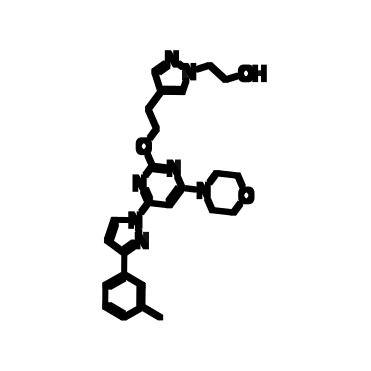 Cc1cccc(-c2ccn(-c3cc(N4CCOCC4)nc(OCCc4cnn(CCO)c4)n3)n2)c1